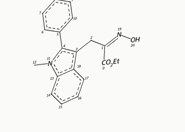 CCOC(=O)C(Cc1c(-c2ccccc2)n(C)c2ccccc12)=NO